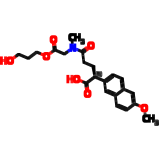 COc1ccc2cc([C@H](CCC(=O)N(C)CC(=O)OCCCO)C(=O)O)ccc2c1